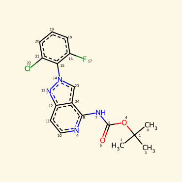 CC(C)(C)OC(=O)Nc1nccc2nn(-c3c(F)cccc3Cl)cc12